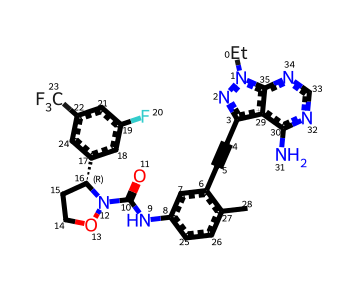 CCn1nc(C#Cc2cc(NC(=O)N3OCC[C@@H]3c3cc(F)cc(C(F)(F)F)c3)ccc2C)c2c(N)ncnc21